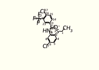 CCSc1ccc(Cl)cc1N[S+]([O-])c1ccc(Cl)c(C(F)(F)F)c1